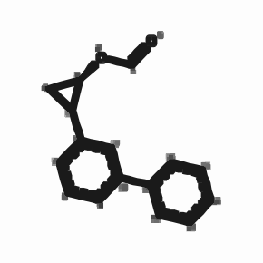 O=CO[C@@H]1CC1c1cccc(-c2ccccc2)c1